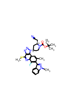 CSc1nc2c(F)c(-c3nn(C)c4ccccc34)c(C)cc2c2c1nnn2[C@H]1CCN(C(=O)OC(C)(C)C)[C@H](CC#N)C1